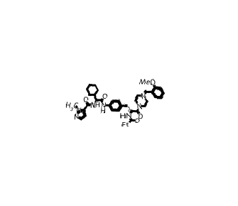 CCC(=O)N[C@H](Cc1ccc(NC(=O)[C@@H](NC(=O)c2ccnn2C)C2CCCCC2)cc1)C(=O)N1CCN(Cc2ccccc2OC)CC1